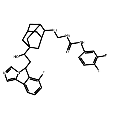 O=C(NCNC1C2CC3CC1CC(C(O)CC1c4c(F)cccc4-c4cncn41)(C3)C2)Nc1ccc(F)c(F)c1